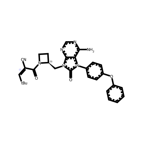 CC(C)(C)/C=C(/C#N)C(=O)N1CC[C@H]1Cn1c(=O)n(-c2ccc(Oc3ccccc3)cc2)c2c(N)ncnc21